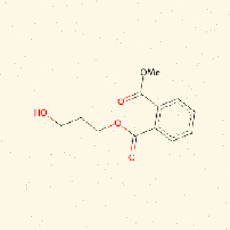 COC(=O)c1ccccc1C(=O)OCCCO